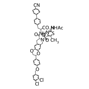 CC(=O)Nc1nc(S(=O)(=O)N2Cc3cc4c(cc3C[C@H]2C(=O)N[C@@H](Cc2ccc(-c3ccc(C#N)cc3)cc2)C(=O)O)OCC(c2ccc(OCc3ccc(Cl)c(Cl)c3)cc2)O4)c(C)s1